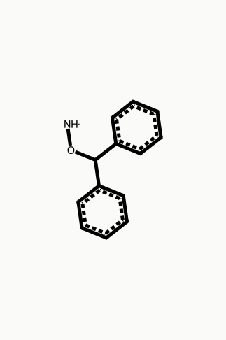 [NH]OC(c1ccccc1)c1ccccc1